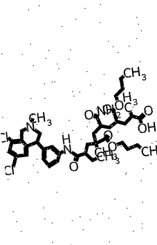 CCCCOC(=O)C(CC(C)C(=O)O)CC(CC(C)(CC(CC)C(=O)Nc1cccc(C2CN(C)Cc3c(Cl)cc(Cl)cc32)c1)C(=O)OCCCC)C(N)=O